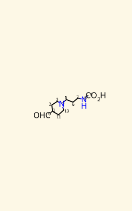 O=CC1CCN(CCCNC(=O)O)CC1